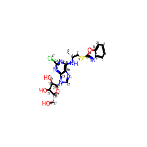 C[C@H](CSc1nc2ccccc2o1)Nc1nc(Cl)nc2c1ncn2[C@@H]1O[C@H](CO)C(O)C1O